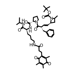 CC1=C(C)C(=O)C(CCC(=O)NCCCC[C@H](NC(=O)[C@@H]2CCCN2C(=O)[C@H](/C=C/[C@@H]2CC(C)N2C(=O)OC(C)(C)C)Cc2ccccc2)C(=O)NC(C)C)=C(C)C1=O